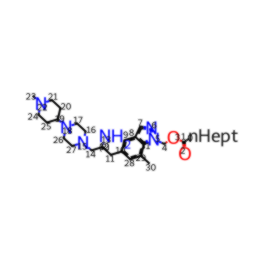 CCCCCCCC(=O)OCn1ncc2cc(C[C@@H](N)CN3CCN(C4CCN(C)CC4)CC3)cc(C)c21